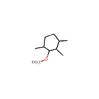 CCOC(=O)OC1C(C)CCC(C)C1C